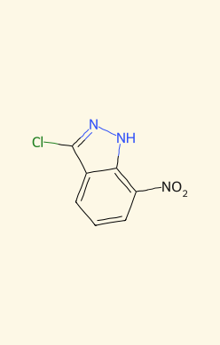 O=[N+]([O-])c1cccc2c(Cl)n[nH]c12